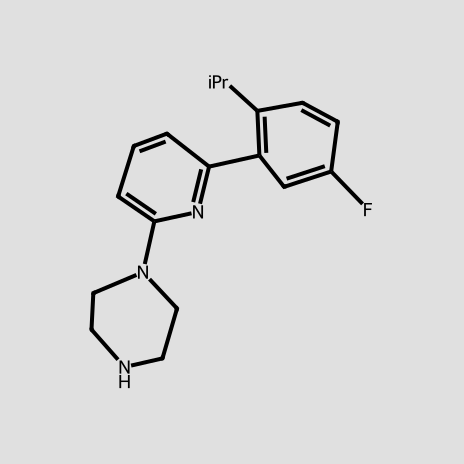 CC(C)c1ccc(F)cc1-c1cccc(N2CCNCC2)n1